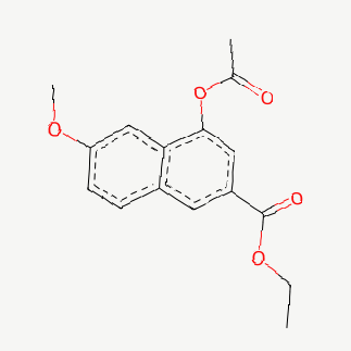 CCOC(=O)c1cc(OC(C)=O)c2cc(OC)ccc2c1